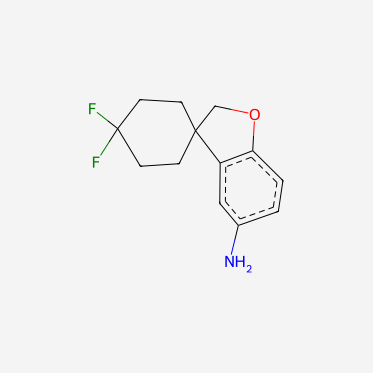 Nc1ccc2c(c1)C1(CCC(F)(F)CC1)CO2